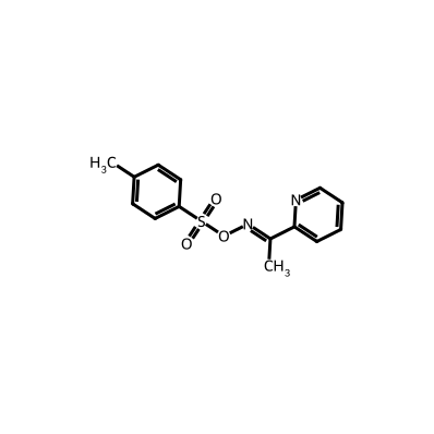 C/C(=N\OS(=O)(=O)c1ccc(C)cc1)c1ccccn1